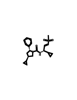 CS(=O)(=O)/C=C/[C@@H](NC(=O)N1C[C@@H](C2CC2)C[C@@H]1c1ccccc1)C1CC1